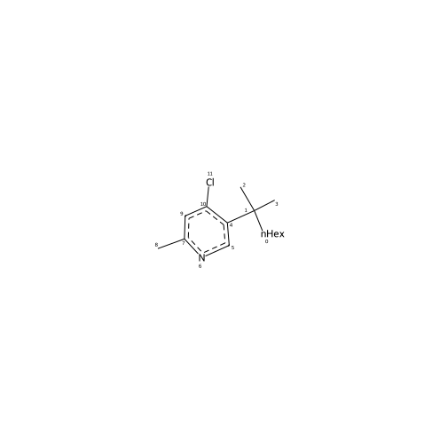 CCCCCCC(C)(C)c1cnc(C)cc1Cl